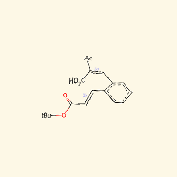 CC(=O)/C(=C/c1ccccc1/C=C/C(=O)OC(C)(C)C)C(=O)O